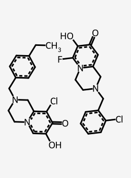 CCc1ccc(CN2CCn3cc(O)c(=O)c(Cl)c3C2)cc1.O=c1cc2n(c(F)c1O)CCN(Cc1ccccc1Cl)C2